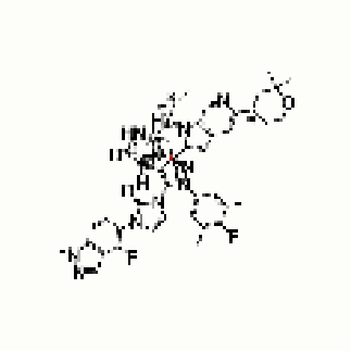 Cc1cc(-n2nc3c(c2-n2ccn(-c4ccc5c(cnn5C)c4F)c2=O)[C@@H]2CC[C@H](C3)N2C(=O)c2cc3cc([C@@H]4CCOC(C)(C)C4)ncc3n2[C@@]2(c3noc(=O)[nH]3)C[C@@H]2C)cc(C)c1F